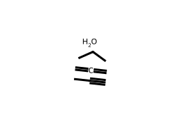 C#CC.C=C=C.CCC.O